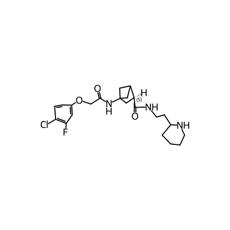 O=C(COc1ccc(Cl)c(F)c1)NC12CC(C1)[C@@H](C(=O)NCCC1CCCCN1)C2